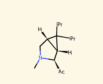 CC(=O)[C@@H]1[C@@H]2[C@H](CN1C)C2(C(C)C)C(C)C